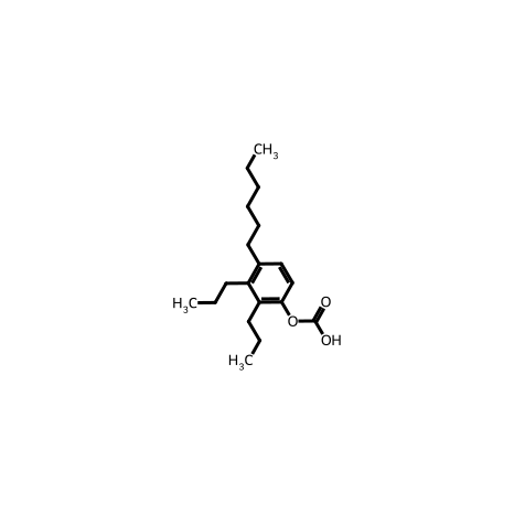 CCCCCCc1ccc(OC(=O)O)c(CCC)c1CCC